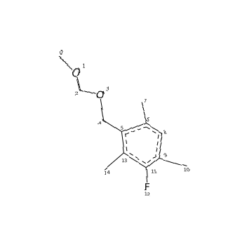 COCOCc1c(C)cc(C)c(F)c1C